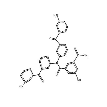 NC(=O)c1cc(O)cc(C(=O)N(c2cccc(C(=O)c3cccc(N)c3)c2)c2cccc(C(=O)c3cccc(N)c3)c2)c1